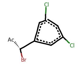 CC(=O)[C@@H](Br)c1cc(Cl)cc(Cl)c1